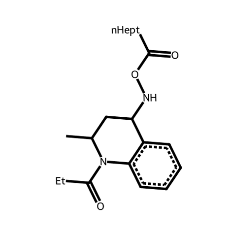 CCCCCCCC(=O)ONC1CC(C)N(C(=O)CC)c2ccccc21